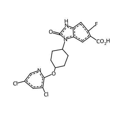 O=C(O)c1cc2c(cc1F)[nH]c(=O)n2C1CCC(Oc2ncc(Cl)cc2Cl)CC1